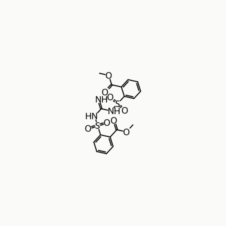 COC(=O)c1ccccc1S(=O)(=O)NC(=N)NS(=O)(=O)c1ccccc1C(=O)OC